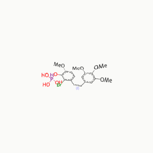 COc1cc(/C=C\c2ccc(OC)c(O[PH](O)(O)O)c2Br)cc(OC)c1OC